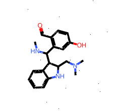 CNC(c1cc(O)ccc1C=O)C1c2ccccc2NC1CN(C)C